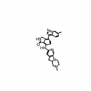 Cc1ccc2c(-c3ccc(Nc4cc5c(cn4)N4CCN(C)CC4C5)c4c3CNC4=O)cnn2c1